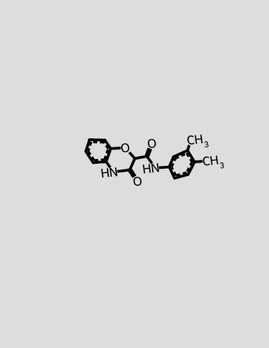 Cc1ccc(NC(=O)C2Oc3ccccc3NC2=O)cc1C